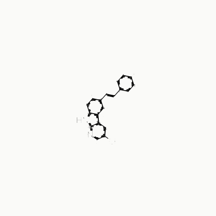 Clc1cnc2[nH]c3ccc(C=Cc4ccccc4)cc3c2c1